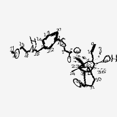 C=C[C@]1(C)C[C@@H](OC(=O)CSc2cccc(CNCCOC)c2)[C@]2(C)C(C)CCC3(CCC(=O)C32)[C@@H](C)[C@@H]1O